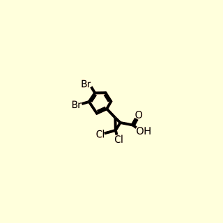 O=C(O)C1C(c2ccc(Br)c(Br)c2)C1(Cl)Cl